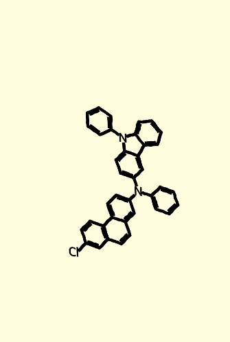 Clc1ccc2c(ccc3cc(N(c4ccccc4)c4ccc5c(c4)c4ccccc4n5-c4ccccc4)ccc32)c1